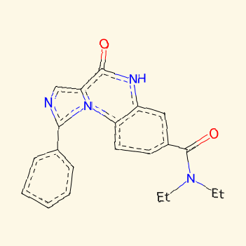 CCN(CC)C(=O)c1ccc2c(c1)[nH]c(=O)c1cnc(-c3ccccc3)n12